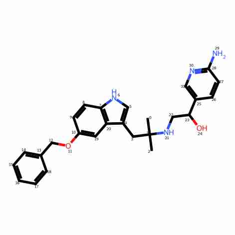 CC(C)(Cc1c[nH]c2ccc(OCc3ccccc3)cc12)NCC(O)c1ccc(N)nc1